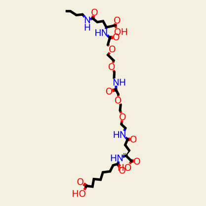 CCCCNC(=O)CCC(NC(=O)COCCOCCNC(=O)COCCOCCNC(=O)CC[C@H](NC(=O)CCCCCCC(=O)O)C(=O)O)C(=O)O